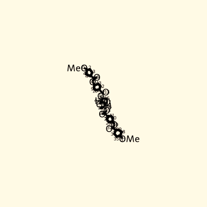 COc1ccc(C(=O)Oc2ccc(C(=O)O[C@H]3CO[C@H]4[C@@H]3OC[C@H]4OC(=O)c3ccc(OC(=O)c4ccc(OC)cc4)cc3)cc2)cc1